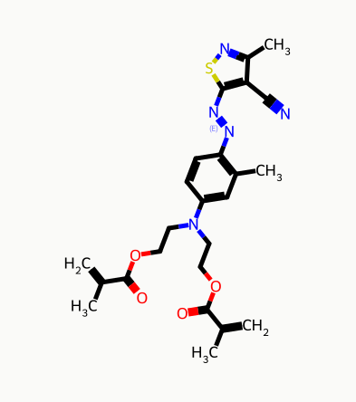 C=C(C)C(=O)OCCN(CCOC(=O)C(=C)C)c1ccc(/N=N/c2snc(C)c2C#N)c(C)c1